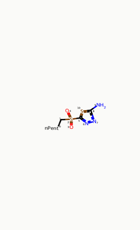 CCCCCCS(=O)(=O)c1nnc(N)s1